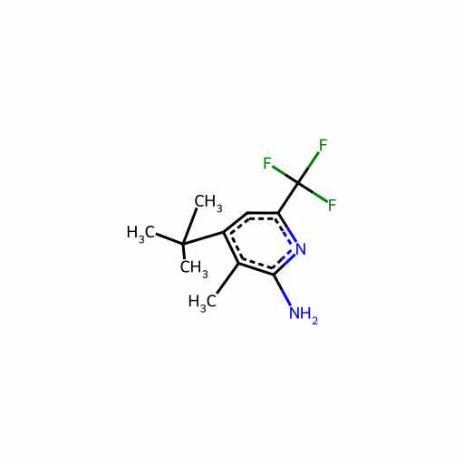 Cc1c(C(C)(C)C)cc(C(F)(F)F)nc1N